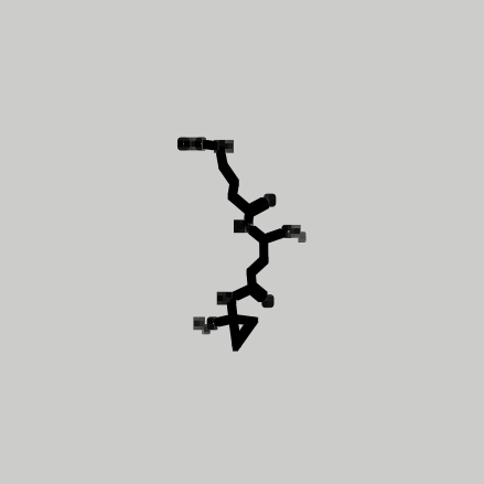 CC(CCC(=O)NC1(C)CC1)NC(=O)CCCNC=O